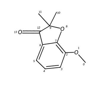 COc1cccc2c1OC(C)(C)C2=O